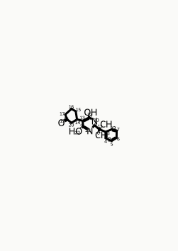 CC(C)(c1ccccc1)c1nc(O)c(C2CCCC(=O)C2)c(O)n1